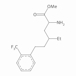 CCC(CCc1ccccc1C(F)(F)F)CC(N)C(=O)OC